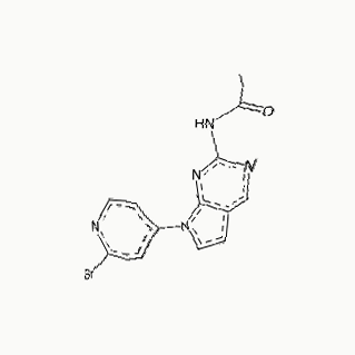 CC(=O)Nc1ncc2ccn(-c3ccnc(Br)c3)c2n1